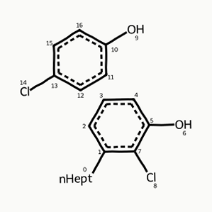 CCCCCCCc1cccc(O)c1Cl.Oc1ccc(Cl)cc1